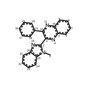 Cn1c(-c2nc3ccccc3nc2-c2ccccc2)nc2ccccc21